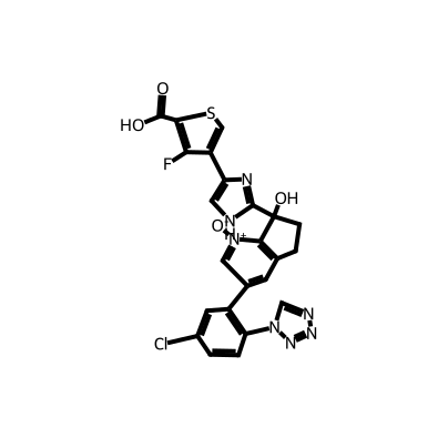 O=C(O)c1scc(-c2c[nH]c(C3(O)CCc4cc(-c5cc(Cl)ccc5-n5cnnn5)c[n+]([O-])c43)n2)c1F